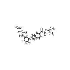 CC(C)OC(=O)Nc1cnc2nc(-c3cc(NC(=O)C4CC(=O)C4)ccc3F)cn2c1